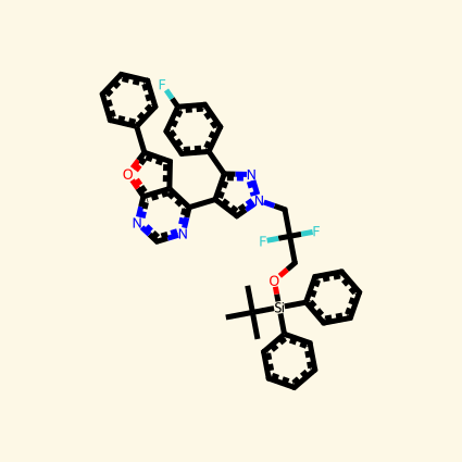 CC(C)(C)[Si](OCC(F)(F)Cn1cc(-c2ncnc3oc(-c4ccccc4)cc23)c(-c2ccc(F)cc2)n1)(c1ccccc1)c1ccccc1